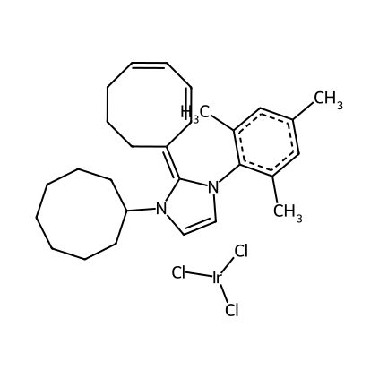 Cc1cc(C)c(N2C=CN(C3CCCCCCC3)C2=C2C=CC=CCCC2)c(C)c1.[Cl][Ir]([Cl])[Cl]